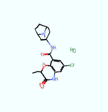 CC1Oc2c(cc(Cl)cc2C(=O)NC2CC3CCC(C2)N3C)NC1=O.Cl